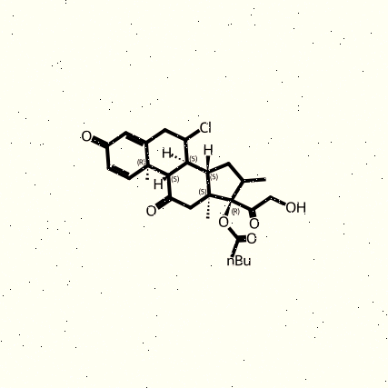 CCCCC(=O)O[C@]1(C(=O)CO)C(C)C[C@H]2[C@@H]3C(Cl)CC4=CC(=O)C=C[C@]4(C)[C@H]3C(=O)C[C@@]21C